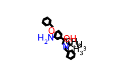 CC(C)(C)N(Cc1ccccc1)CC(O)c1ccc(OCc2ccccc2)c(N)c1